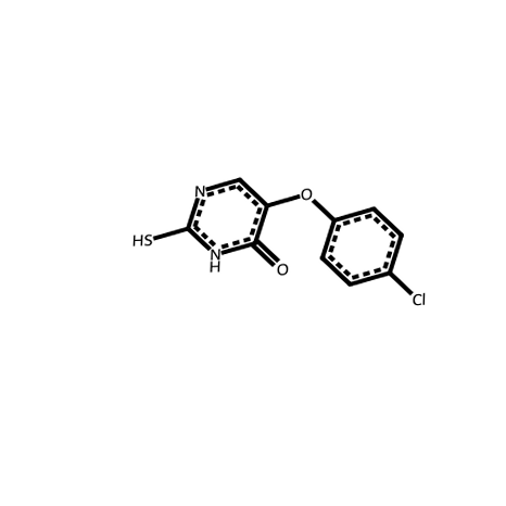 O=c1[nH]c(S)ncc1Oc1ccc(Cl)cc1